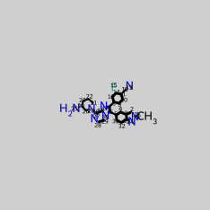 Cn1cc2cc(-c3c(-c4ccc(C#N)c(F)c4)nc4c(N5CCC[C@@H](N)C5)nccn34)ccc2n1